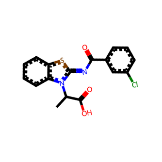 CC(C(=O)O)n1c(=NC(=O)c2cccc(Cl)c2)sc2ccccc21